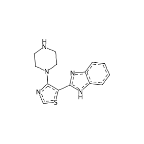 c1ccc2[nH]c(-c3scnc3N3CCNCC3)nc2c1